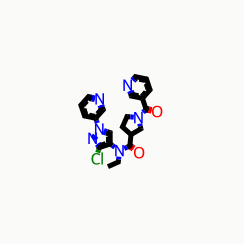 CCN(C(=O)C1CCN(C(=O)c2cccnc2)C1)c1cn(-c2cccnc2)nc1Cl